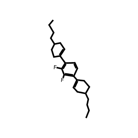 CCCCC1CC=C(c2ccc(C3=CCC(CCCC)CC3)c(F)c2F)CC1